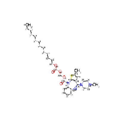 CCCCCCCCCCCCCCOC(=O)OCOC(=O)N1c2ccccc2N=C(N2CCN(C)CC2)c2cc(C)sc21